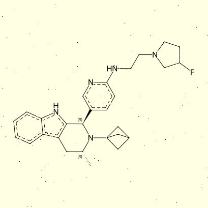 C[C@@H]1Cc2c([nH]c3ccccc23)[C@@H](c2ccc(NCCN3CCC(F)C3)nc2)N1C12CC(C1)C2